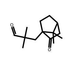 CC(C)([C]=O)CC12CCC(CC1=O)C2(C)C